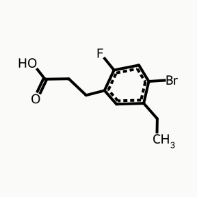 CCc1cc(CCC(=O)O)c(F)cc1Br